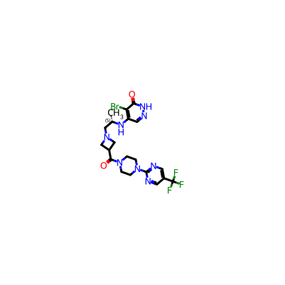 C[C@@H](CN1CC(C(=O)N2CCN(c3ncc(C(F)(F)F)cn3)CC2)C1)Nc1cn[nH]c(=O)c1Br